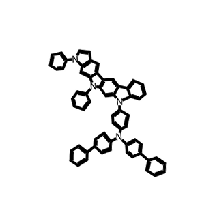 c1ccc(-c2ccc(N(c3ccc(-c4ccccc4)cc3)c3ccc(-n4c5ccccc5c5cc6c7cc8ccn(-c9ccccc9)c8cc7n(-c7ccccc7)c6cc54)cc3)cc2)cc1